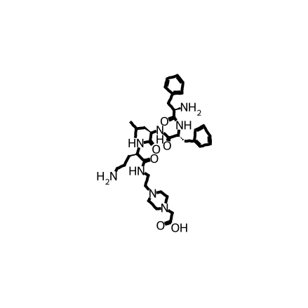 CC(C)C[C@@H](NC(=O)[C@@H](Cc1ccccc1)NC(=O)[C@H](N)Cc1ccccc1)C(=O)N[C@H](CCCN)C(=O)NCCN1CCN(CC(=O)O)CC1